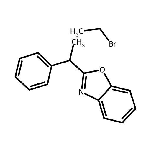 CC(c1ccccc1)c1nc2ccccc2o1.CCBr